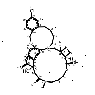 CN1CCCC[C@H](O)[C@@H]2CC[C@H]2CN2CCCCc3cc(Cl)ccc3COc3ccc(cc32)[C@@](O)(C(=O)O)CC1=O